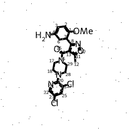 COC1=CC=C(N)CC1c1noc(C)c1C(=O)N1CCN(c2ncc(Cl)cc2Cl)CC1